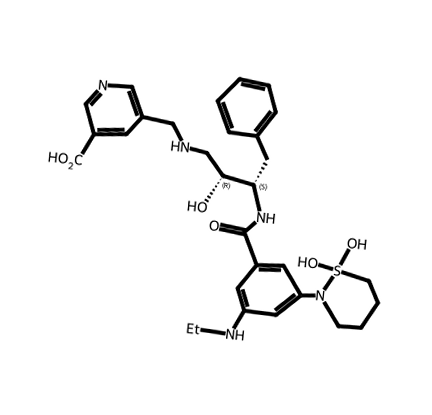 CCNc1cc(C(=O)N[C@@H](Cc2ccccc2)[C@H](O)CNCc2cncc(C(=O)O)c2)cc(N2CCCCS2(O)O)c1